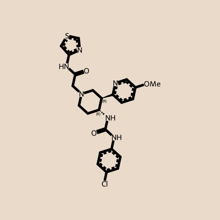 COc1ccc([C@@H]2CN(CC(=O)Nc3cscn3)CC[C@H]2NC(=O)Nc2ccc(Cl)cc2)nc1